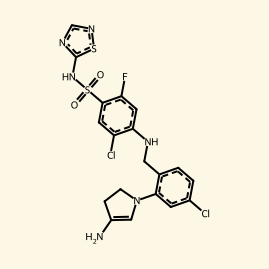 NC1=CN(c2cc(Cl)ccc2CNc2cc(F)c(S(=O)(=O)Nc3ncns3)cc2Cl)CC1